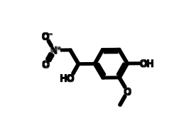 COc1cc(C(O)C[N+](=O)[O-])ccc1O